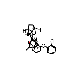 Cc1cc(N2C[C@H]3CC[C@@H](C2)[C@@H]3Nc2nc3n(n2)CCC[C@@H]3Oc2ccccc2Cl)ncn1